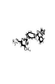 Cc1cc(C)nc(N2CC3CC2CN(C(=O)c2ccccc2-n2ncnn2)C3)n1